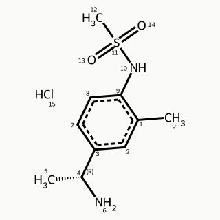 Cc1cc([C@@H](C)N)ccc1NS(C)(=O)=O.Cl